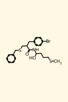 CSCCCC(O)NC(=O)C(CSCc1ccccc1)Cc1ccc(Br)cc1